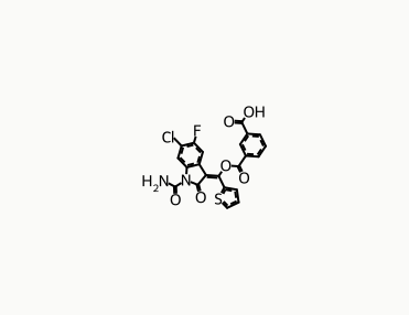 NC(=O)N1C(=O)C(=C(OC(=O)c2cccc(C(=O)O)c2)c2cccs2)c2cc(F)c(Cl)cc21